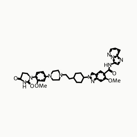 COc1cc2nn(C3CCC(CCN4CCN(c5ccc(N6CCC(=O)NC6=O)c(OC)c5)CC4)CC3)cc2cc1C(=O)Nc1cnc2cccnn12